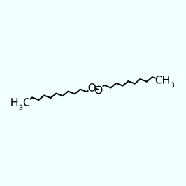 CCCCCCCCCCCOOCCCCCCCCCC